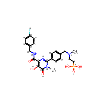 CN(CCP(=O)(O)O)Cc1ccc(-c2nc(C(=O)NCc3ccc(F)cc3)c(O)c(=O)n2C)cc1